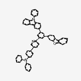 c1ccc(N(c2ccccc2)c2ccc(-c3ccc(-c4cc(-c5ccc6c(c5)oc5ccccc56)cc(-c5ccc6c(c5)c5ccccc5n6-c5ccccc5)c4)nc3)cc2)cc1